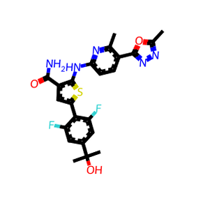 Cc1nnc(-c2ccc(Nc3sc(-c4c(F)cc(C(C)(C)O)cc4F)cc3C(N)=O)nc2C)o1